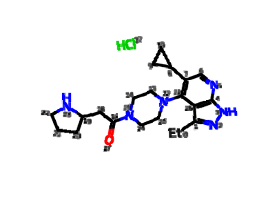 CCc1n[nH]c2ncc(C3CC3)c(N3CCN(C(=O)CC4CCCN4)CC3)c12.Cl